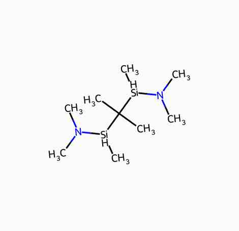 CN(C)[SiH](C)C(C)(C)[SiH](C)N(C)C